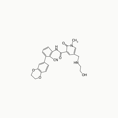 Cn1cc(CNCCO)cc(C(=O)Nc2cccc(-c3ccc4c(c3)OCCO4)c2C#N)c1=O